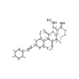 CCN/C=C1\C(=N)CCC[C@]12CC(=O)N(c1c(F)cc(C#Cc3ccccc3)cc1F)C(=O)N2C